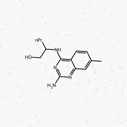 CCCC(CO)Nc1nc(N)nc2cc(C)ccc12